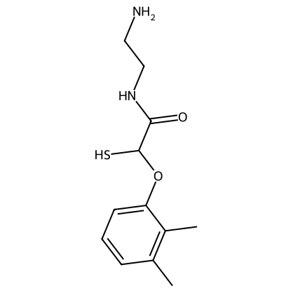 Cc1cccc(OC(S)C(=O)NCCN)c1C